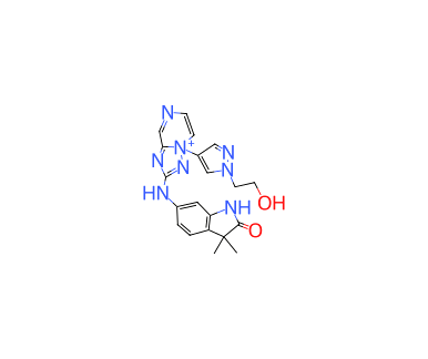 CC1(C)C(=O)Nc2cc(NC3=N[N+]4(c5cnn(CCO)c5)C=CN=CC4=N3)ccc21